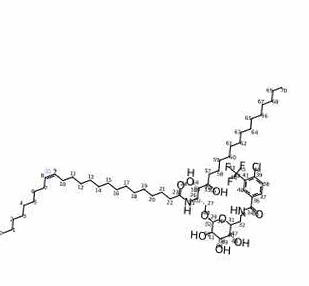 CCCCCCCC/C=C\CCCCCCCCCCCCCC(=O)N[C@@H](CO[C@H]1OC(CNC(=O)c2ccc(Cl)c(C(F)(F)F)c2)[C@H](O)[C@H](O)C1O)[C@H](O)[C@H](O)CCCCCCCCCCCCCC